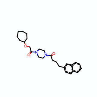 O=C(CCCc1ccc2ccccc2c1)N1CCN(C(=O)COC2CCCCCC2)CC1